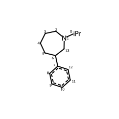 CC(C)N1CCCCC(c2ccccc2)C1